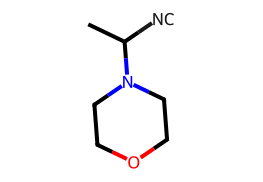 [C-]#[N+]C(C)N1CCOCC1